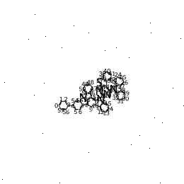 c1ccc(-c2ccc3c4cc5c6ccccc6n(-c6nc(-n7c8ccccc8c8ccccc87)c7c(n6)sc6ccccc67)c5c5c6ccccc6n(c3c2)c45)cc1